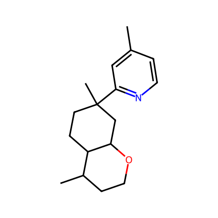 Cc1ccnc(C2(C)CCC3C(C)CCOC3C2)c1